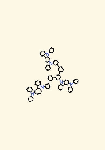 C1=Cc2c(n(-c3cc(-c4cccc(-c5cccc(-n6c7c(c8ccccc86)CC6C(=C7)N(c7ccccc7)c7ccccc76)c5)c4)cc(-c4cccc(-c5cccc(-n6c7c(c8ccccc86)-c6c(n(-c8ccccc8)c8ccccc68)C=CC7)c5)c4)c3)c3ccc4c(c5ccccc5n4-c4ccccc4)c23)CC1